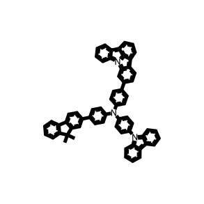 CC1(C)c2ccccc2-c2ccc(-c3ccc(N(c4ccc(-c5ccc6c7cccc8c9ccccc9n(c6c5)c87)cc4)c4ccc(-n5c6ccccc6c6ccccc65)cc4)cc3)cc21